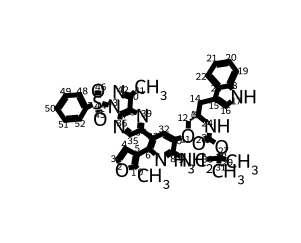 Cc1occc1-c1nc(N)c(OC[C@H](Cc2c[nH]c3ccccc23)NC(=O)OC(C)(C)C)cc1-c1cnc2c(n1)c(C)nn2S(=O)(=O)c1ccccc1